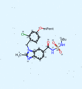 CCCCCOc1ccc(Cn2c(C)nc3ccc(C(=O)NS(=O)(=O)NCCCC)cc32)c(Cl)c1